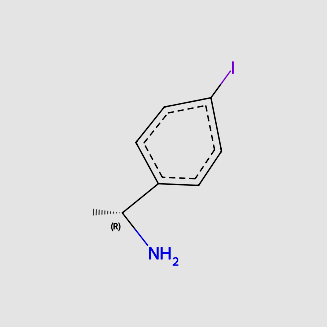 C[C@@H](N)c1ccc(I)cc1